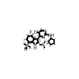 CN(C)C[C@H]1CCC[C@H]1Nc1ncc(C(F)(F)F)c(-c2c[nH]c3c(P(C)(C)=O)cccc23)n1